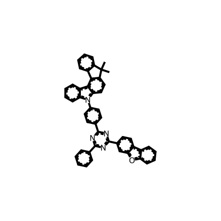 CC1(C)c2ccccc2-c2c1ccc1c2c2ccccc2n1-c1ccc(-c2nc(-c3ccccc3)nc(-c3ccc4c(c3)oc3ccccc34)n2)cc1